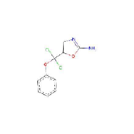 NC1=NCC(C(Cl)(Cl)Oc2ccccc2)O1